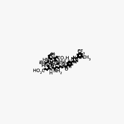 CCC(C)C(NC(=O)C(CCC(=O)O)NC(=O)C(N)CCCCNC(=O)c1ccc(-c2nnc(-c3cc(C)cc(C(F)(F)F)c3)nn2)cc1)C(=O)NC(CC(C)C)C(=O)NC(CC(=O)O)C(=O)NC(C(=O)O)C(C)C